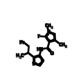 Cc1cn(C)c(F)c1C(=O)Nc1ccsc1C(C)CC(C)C